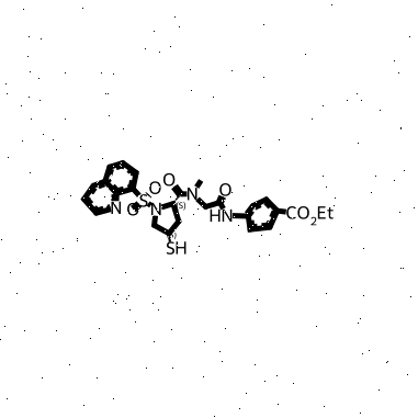 CCOC(=O)c1ccc(NC(=O)CN(C)C(=O)[C@@H]2C[C@H](S)CN2S(=O)(=O)c2cccc3cccnc23)cc1